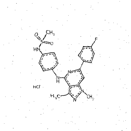 Cc1nn(C)c2cc(-c3ccc(F)cc3)nc(Nc3ccc(NS(C)(=O)=O)cc3)c12.Cl